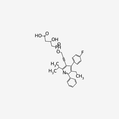 CCc1c(-c2ccccc2)nc(C(C)C)c(C#CCO[PH](=O)CC(O)CC(=O)O)c1-c1ccc(F)cc1